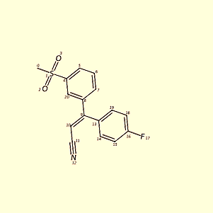 CS(=O)(=O)c1cccc(/C(=C/C#N)c2ccc(F)cc2)c1